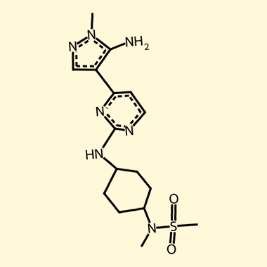 CN(C1CCC(Nc2nccc(-c3cnn(C)c3N)n2)CC1)S(C)(=O)=O